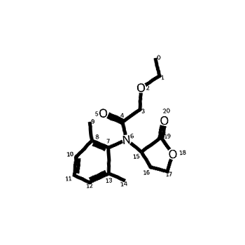 CCOCC(=O)N(c1c(C)cccc1C)C1CCOC1=O